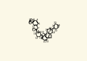 CC(C)Oc1cccc(CC(=O)N2CCC[C@](CCN3CCN(C4CCCCC4)CC3)(c3cccc(Cl)c3)C2)c1